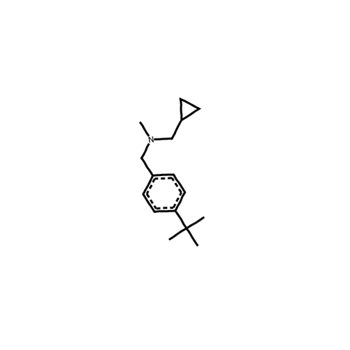 CN(Cc1ccc(C(C)(C)C)cc1)CC1CC1